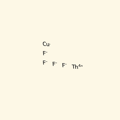 [Cu].[F-].[F-].[F-].[F-].[Th+4]